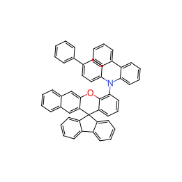 c1ccc(-c2ccc(N(c3ccccc3-c3ccccc3)c3cccc4c3Oc3cc5ccccc5cc3C43c4ccccc4-c4ccccc43)cc2)cc1